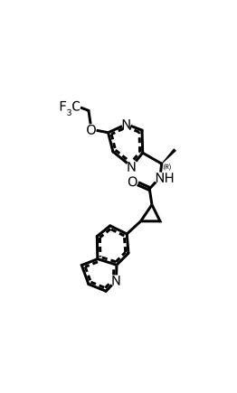 C[C@@H](NC(=O)C1CC1c1ccc2cccnc2c1)c1cnc(OCC(F)(F)F)cn1